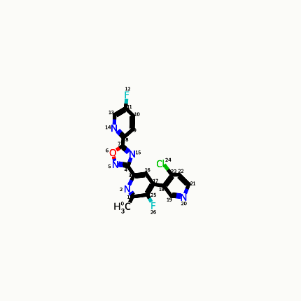 Cc1nc(-c2noc(-c3ccc(F)cn3)n2)cc(-c2cnccc2Cl)c1F